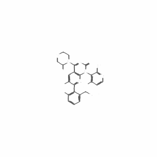 CC(=O)NCc1cccc(F)c1-c1nc2c(cc1F)c(N1CCNCC1C)nc(=O)n2-c1c(C)ccnc1C(C)C